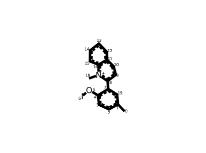 Cc1ccc(OI)c(-c2ccc3ccccc3[n+]2C)c1